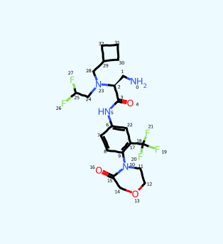 NC[C@@H](C(=O)Nc1ccc(N2CCOCC2=O)c(C(F)(F)F)c1)N(CC(F)F)CC1CCC1